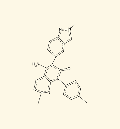 Cc1ccc(-n2c(=O)c(-c3ccc4nn(C)cc4c3)c(N)c3ccc(C)nc32)cc1